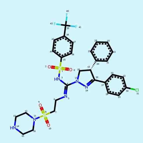 O=S(=O)(NC(=NCCS(=O)(=O)N1CCNCC1)N1C[C@H](c2ccccc2)C(c2ccc(Cl)cc2)=N1)c1ccc(C(F)(F)F)cc1